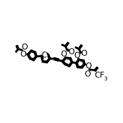 C=C(C)C(=O)Oc1ccc(-c2ccc(C#Cc3ccc(-c4ccc(OC(=O)C(=C)C(F)(F)F)cc4OC(=O)C(=C)C)cc3OC(=O)C(=C)C)cc2)cc1